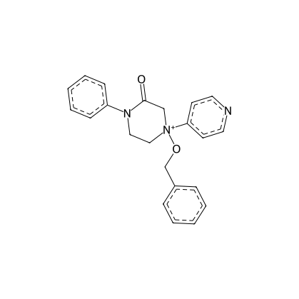 O=C1C[N+](OCc2ccccc2)(c2ccncc2)CCN1c1ccccc1